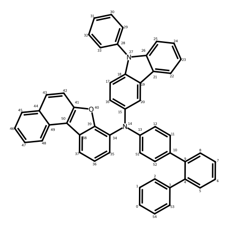 c1ccc(-c2ccccc2-c2ccc(N(c3ccc4c(c3)c3ccccc3n4-c3ccccc3)c3cccc4c3oc3ccc5ccccc5c34)cc2)cc1